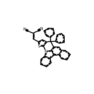 N#CC(C#N)=Cc1cc2c(s1)-n1c3ccccc3c3c4ccccc4cc(c31)C2(c1ccccc1)c1ccccc1